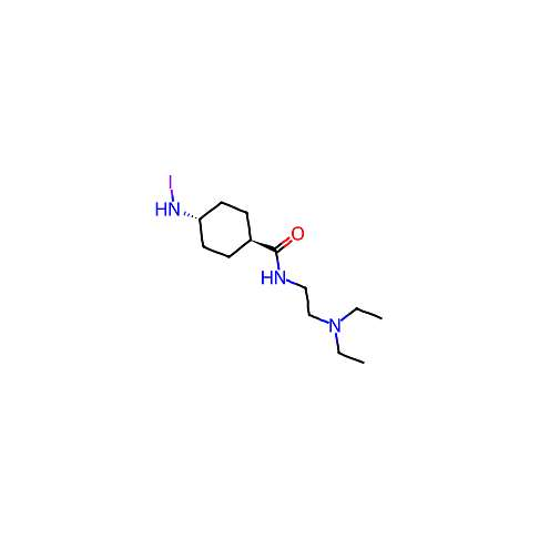 CCN(CC)CCNC(=O)[C@H]1CC[C@H](NI)CC1